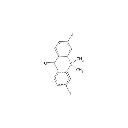 CS1(C)c2cc(I)ccc2C(=O)c2ccc(I)cc21